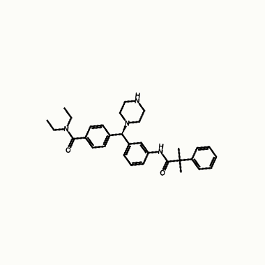 CCN(CC)C(=O)c1ccc([C@H](c2cccc(NC(=O)C(C)(C)c3ccccc3)c2)N2CCNCC2)cc1